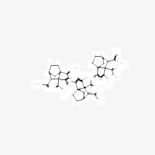 O=C(O)C1C2CCC(C(=O)OC(=O)C34CCC(C3)C(C(=O)O)C4(C(=O)O)C(=O)OC(=O)C34CCC(C3)C(C(=O)O)C4(C(=O)O)C(=O)O)(C2)C1(C(=O)O)C(=O)O